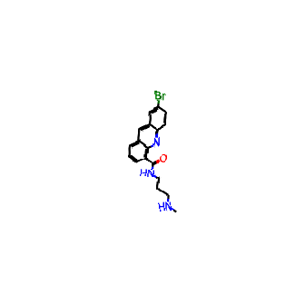 CNCCCNC(=O)c1cccc2cc3cc(Br)ccc3nc12